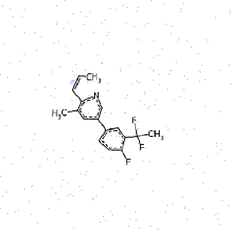 C/C=C\c1ncc(-c2ccc(F)c(C(C)(F)F)c2)cc1C